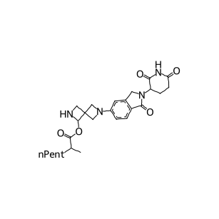 CCCCCC(C)C(=O)OC1NCC12CN(c1ccc3c(c1)CN(C1CCC(=O)NC1=O)C3=O)C2